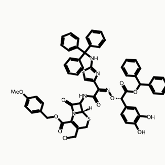 COc1ccc(COC(=O)C2=C(CCl)CS[C@H]3C(NC(=O)/C(=N\O[C@H](C(=O)OC(c4ccccc4)c4ccccc4)c4ccc(O)c(O)c4)c4csc(NC(c5ccccc5)(c5ccccc5)c5ccccc5)n4)C(=O)N23)cc1